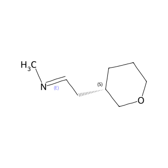 C/N=C/C[C@@H]1CCCOC1